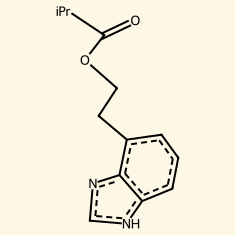 CC(C)C(=O)OCCc1cccc2[nH]cnc12